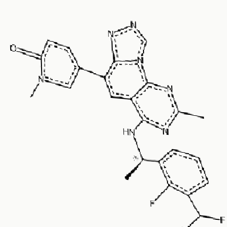 Cc1nc(N[C@H](C)c2cccc(C(F)F)c2F)c2cc(-c3ccc(=O)n(C)c3)c3nncn3c2n1